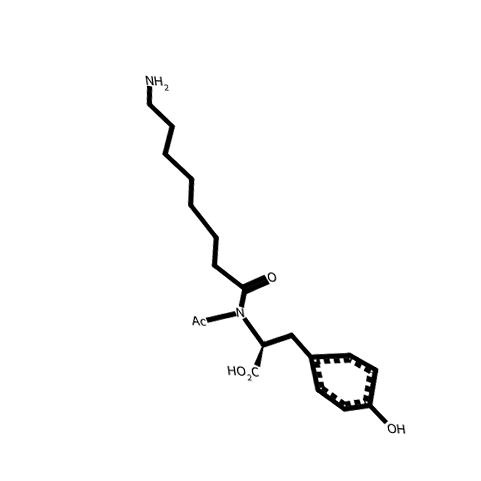 CC(=O)N(C(=O)CCCCCCCN)[C@@H](Cc1ccc(O)cc1)C(=O)O